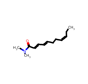 CC/C=C\CC/C=C/C=C/C(=O)N(C)C